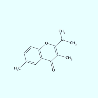 Cc1ccc2oc(N(C)C)c(C)c(=O)c2c1